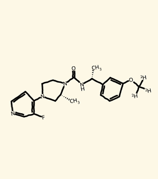 [2H]C([2H])([2H])Oc1cccc([C@@H](C)NC(=O)N2CCN(c3ccncc3F)C[C@H]2C)c1